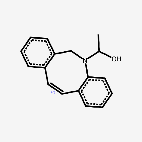 CC(O)N1Cc2ccccc2/C=C\c2ccccc21